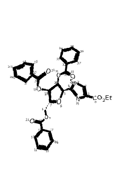 CCOC(=O)c1c[se]c([C@H]2O[C@H](COC(=O)c3ccccc3)[C@@H](OC(=O)c3ccccc3)[C@H]2OC(=O)c2ccccc2)n1